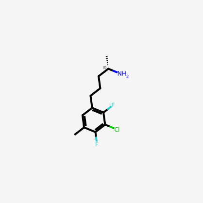 Cc1cc(CCC[C@H](C)N)c(F)c(Cl)c1F